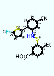 CCc1ccc(C(=O)O)cc1SNc1cc(C#N)ccc1-c1ccc(F)s1